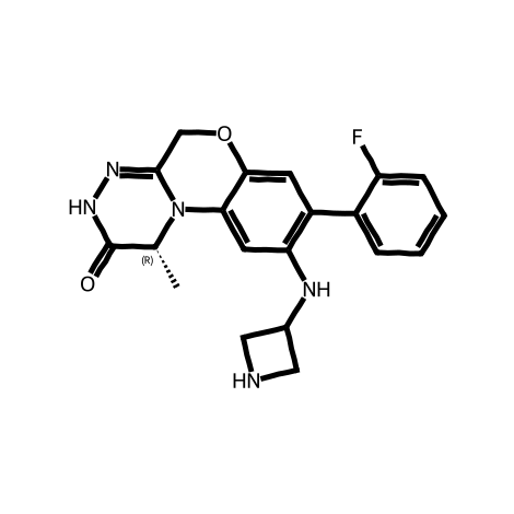 C[C@@H]1C(=O)NN=C2COc3cc(-c4ccccc4F)c(NC4CNC4)cc3N21